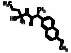 [2H]C(O)(CCC)NC(=O)C(C)c1ccc2cc(OC)ccc2c1